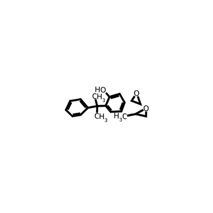 C1CO1.CC(C)(c1ccccc1)c1ccccc1O.CC1CO1